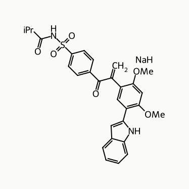 C=C(C(=O)c1ccc(S(=O)(=O)NC(=O)C(C)C)cc1)c1cc(-c2cc3ccccc3[nH]2)c(OC)cc1OC.[NaH]